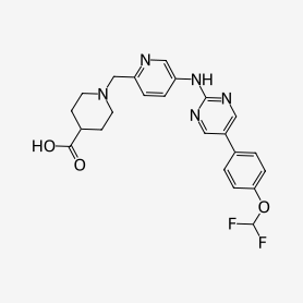 O=C(O)C1CCN(Cc2ccc(Nc3ncc(-c4ccc(OC(F)F)cc4)cn3)cn2)CC1